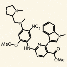 COOc1cc(N(C)CC2CCCN2C)c([N+](=O)[O-])cc1Nc1ncc(C(=O)OC)c(-c2cn(C)c3ccccc23)n1